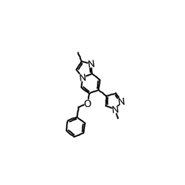 Cc1cn2cc(OCc3ccccc3)c(-c3cnn(C)c3)cc2n1